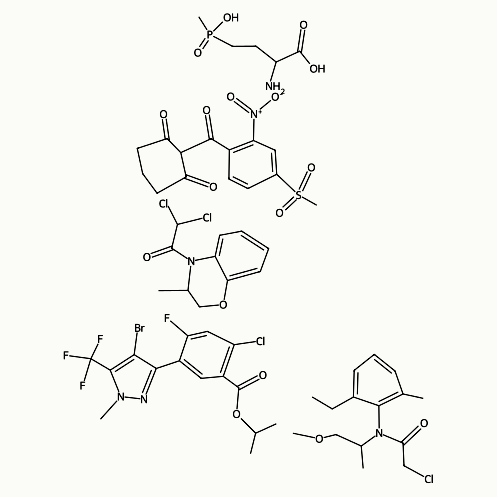 CC(C)OC(=O)c1cc(-c2nn(C)c(C(F)(F)F)c2Br)c(F)cc1Cl.CC1COc2ccccc2N1C(=O)C(Cl)Cl.CCc1cccc(C)c1N(C(=O)CCl)C(C)COC.CP(=O)(O)CCC(N)C(=O)O.CS(=O)(=O)c1ccc(C(=O)C2C(=O)CCCC2=O)c([N+](=O)[O-])c1